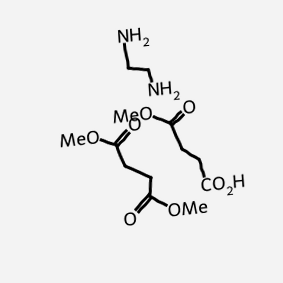 COC(=O)CCC(=O)O.COC(=O)CCC(=O)OC.NCCN